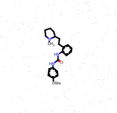 COc1ccc(NC(=O)Nc2ccccc2CCC2CCCCN2C)cc1